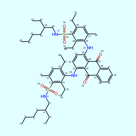 CCCCC(CC)CNS(=O)(=O)c1c(C)cc(CC)c(Nc2ccc(Nc3c(C)cc(CC)c(S(=O)(=O)NCC(CC)CCCC)c3CC)c3c2C(=O)c2ccccc2C3=O)c1CC